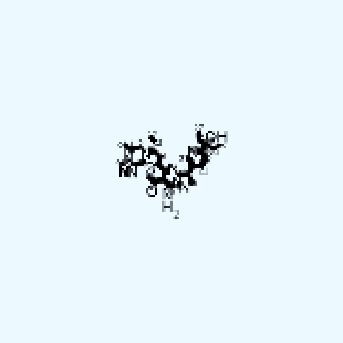 CCCN(C(=O)c1nnc[nH]1)[C@H](CC)CCc1nc2c(-c3ccc(C(O)(CC)CC)nc3)cnn2c(N)c1C(C)=O